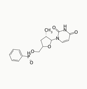 C[C@H]1CC(CO[PH](=O)c2ccccc2)OC1n1ccc(=O)[nH]c1=O